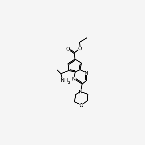 CCOC(=O)c1cc(C(C)N)c2nc(N3CCOCC3)cnc2c1